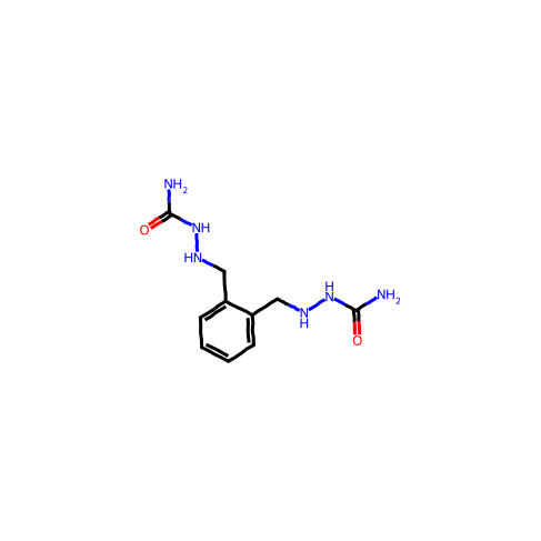 NC(=O)NNCc1ccccc1CNNC(N)=O